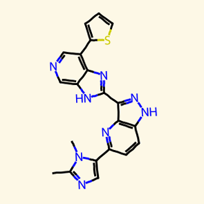 Cc1ncc(-c2ccc3[nH]nc(-c4nc5c(-c6cccs6)cncc5[nH]4)c3n2)n1C